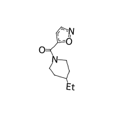 CCC1CCN(C(=O)c2ccno2)CC1